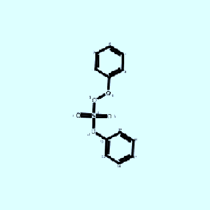 O=S(=O)(OOc1ccccc1)Oc1ccccc1